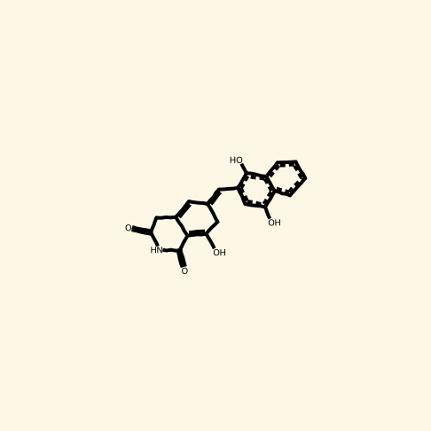 O=C1CC2=CC(=Cc3cc(O)c4ccccc4c3O)CC(O)=C2C(=O)N1